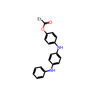 CCC(=O)Oc1ccc(Nc2ccc(Nc3ccccc3)cc2)cc1